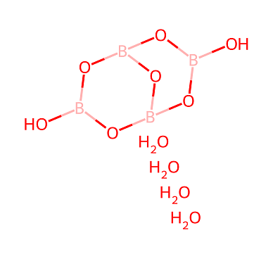 O.O.O.O.OB1OB2OB(O)OB(O1)O2